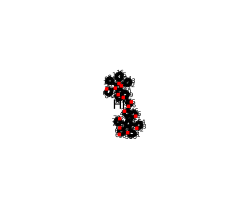 C1=CCC(c2c(-c3ccccc3)c(-c3ccccc3)c(-c3ccccc3)c3c2-c2cccc4c(-c5ccc(-c6ccc7c8c(cccc68)-c6c(-c8ccccc8)c(-c8ccccc8)c(-c8ccccc8)c(-c8ccccc8)c6-7)[nH]5)ccc-3c24)C=C1